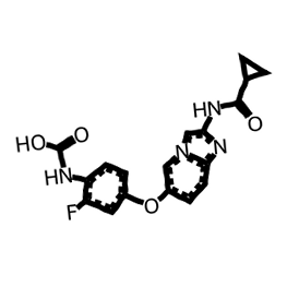 O=C(O)Nc1ccc(Oc2ccc3nc(NC(=O)C4CC4)cn3c2)cc1F